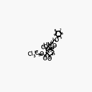 O=C(COc1ccccc1)NC1C(=O)N2C(C(=O)OCC(Cl)(Cl)Cl)C(=O)CS[C@H]12